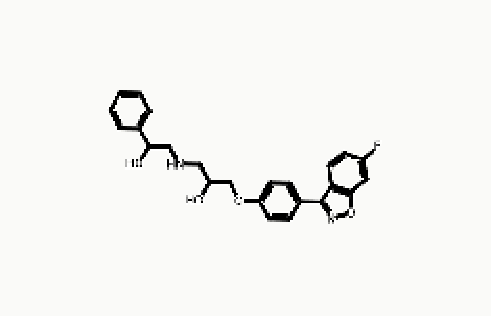 OC(CNCC(O)c1ccccc1)COc1ccc(-c2noc3cc(F)ccc23)cc1